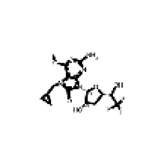 COc1nc(N)nc2c1n(CC1CC1)c(=O)n2[C@@H]1O[C@H](C(O)C(F)(F)F)C[C@H]1O